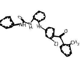 Cc1ccccc1C(=O)c1ccc(Nc2ccccc2NC(=O)Nc2ccccc2)cc1Cl